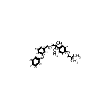 CC(C)COc1ccc(C(C)(C)COCc2cccc(Oc3ccccc3)c2)cc1